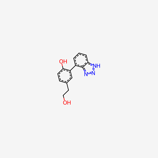 OCCc1ccc(O)c(-c2cccc3[nH]nnc23)c1